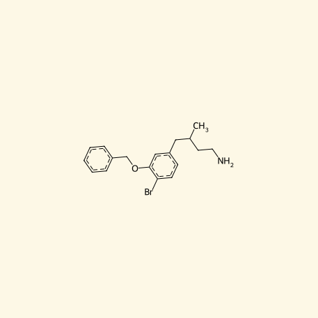 CC(CCN)Cc1ccc(Br)c(OCc2ccccc2)c1